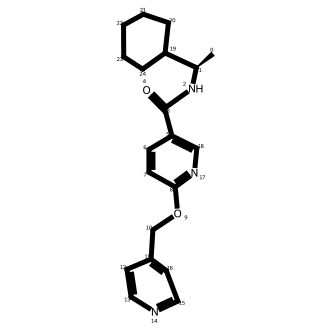 C[C@@H](NC(=O)c1ccc(OCc2ccncc2)nc1)C1CCCCC1